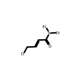 CCN(CC)C(=O)C=CCCl